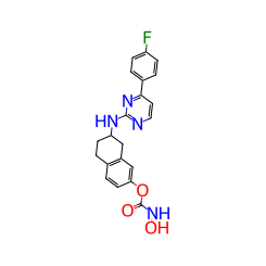 O=C(NO)Oc1ccc2c(c1)CC(Nc1nccc(-c3ccc(F)cc3)n1)CC2